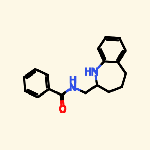 O=C(NCC1CCCc2ccccc2N1)c1ccccc1